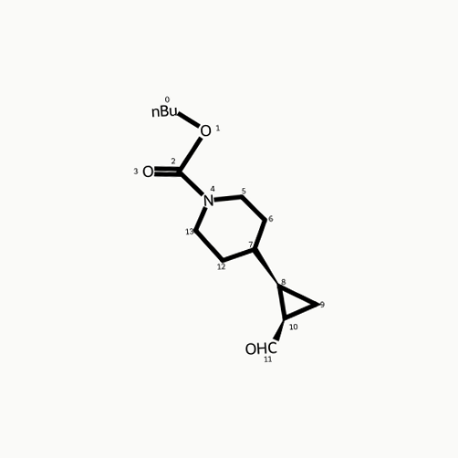 CCCCOC(=O)N1CCC([C@H]2C[C@H]2C=O)CC1